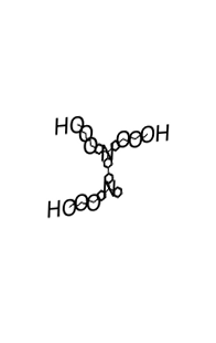 OCCOCCOc1ccc(N(c2ccccc2)c2ccc(-c3ccc(N(c4ccc(OCCOCCO)cc4)c4ccc(OCCOCCO)cc4)cc3)cc2)cc1